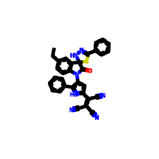 CCc1ccc2c(c1)C1(NN=C(c3ccccc3)S1)C(=O)N2c1cc(C(C#N)=C(C#N)C#N)[nH]c1-c1ccccc1